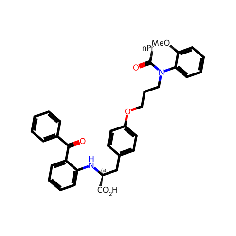 CCCC(=O)N(CCCOc1ccc(C[C@H](Nc2ccccc2C(=O)c2ccccc2)C(=O)O)cc1)c1ccccc1OC